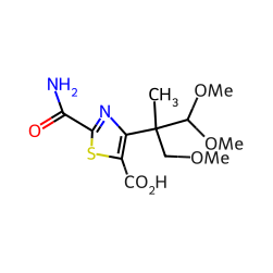 COCC(C)(c1nc(C(N)=O)sc1C(=O)O)C(OC)OC